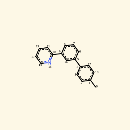 Cc1ccc(-c2cccc(-c3ccccn3)c2)cc1